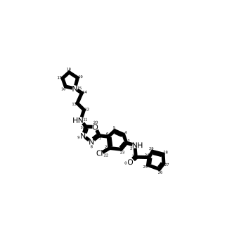 O=C(Nc1ccc(-c2nnc(NCCCN3CCCC3)o2)c(Cl)c1)c1ccccc1